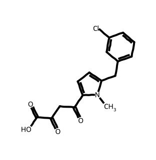 Cn1c(Cc2cccc(Cl)c2)ccc1C(=O)CC(=O)C(=O)O